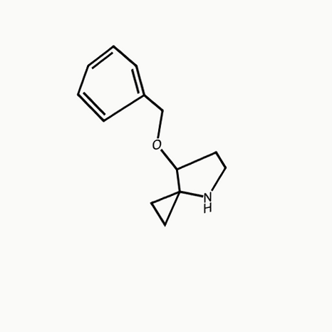 c1ccc(COC2CCNC23CC3)cc1